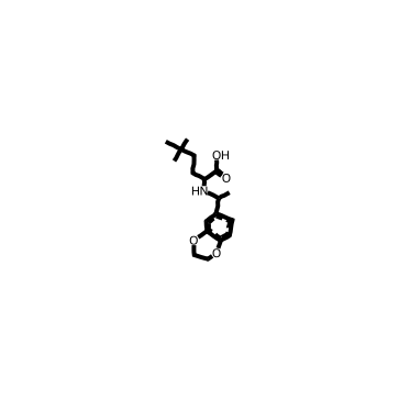 CC(NC(CCC(C)(C)C)C(=O)O)c1ccc2c(c1)OCCO2